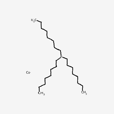 CCCCCCCCP(CCCCCCCC)CCCCCCCC.[Co]